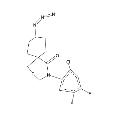 [N-]=[N+]=NC1CCC2(CCCN(c3cc(F)c(F)cc3Cl)C2=O)CC1